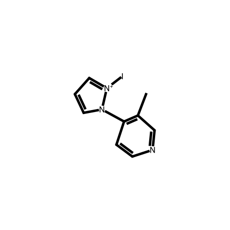 Cc1cnccc1-n1ccc[n+]1I